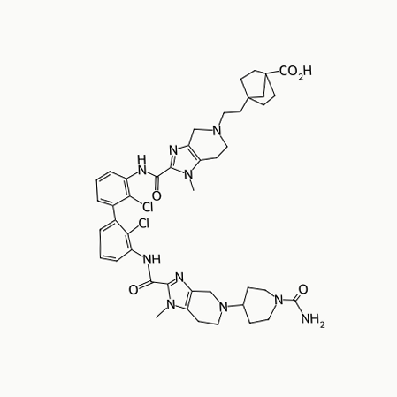 Cn1c(C(=O)Nc2cccc(-c3cccc(NC(=O)c4nc5c(n4C)CCN(C4CCN(C(N)=O)CC4)C5)c3Cl)c2Cl)nc2c1CCN(CCC13CCC(C(=O)O)(CC1)C3)C2